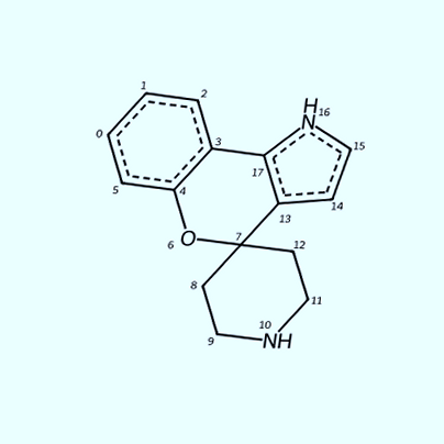 c1ccc2c(c1)OC1(CCNCC1)c1cc[nH]c1-2